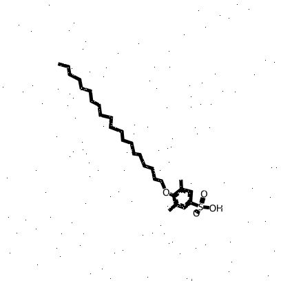 CCCCCCCCCCCCCCCCCCCCOc1c(C)cc(S(=O)(=O)O)cc1C